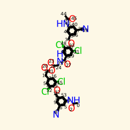 CC(=O)Nc1cc(C#N)cc(COc2c(Cl)cc(CC(=O)OC(=O)CNC(=O)c3cc(Cl)c(OCc4cc(C#N)cc(NC(C)=O)c4)c(Cl)c3)cc2Cl)c1